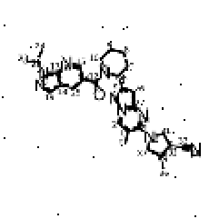 Cc1cn2nc([C@@H]3CCCCN3C(=O)c3cnc4c(cnn4C(C)C)c3)cc2nc1N1C[C@@H](C#N)[C@@H](C)C1